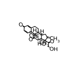 C[C@@H]1C[C@H]2[C@@H]3CCC4=CC(=O)C=C[C@]4(C)[C@@]3(F)C(=O)C[C@]2(C)[C@@]1(O)C(=O)CO